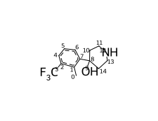 Cc1c(C(F)(F)F)cccc1C1(O)CCNCC1